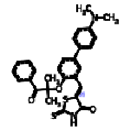 CN(C)c1ccc(-c2ccc(OC(C)(C)C(=O)c3ccccc3)c(/C=C3\SC(=S)NC3=O)c2)cc1